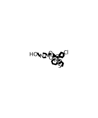 O=C(OC1([C@H]2CCC[C@@H](c3cccs3)N2S(=O)(=O)c2ccc(Cl)cc2)CC1)N1CCN(CCO)CC1